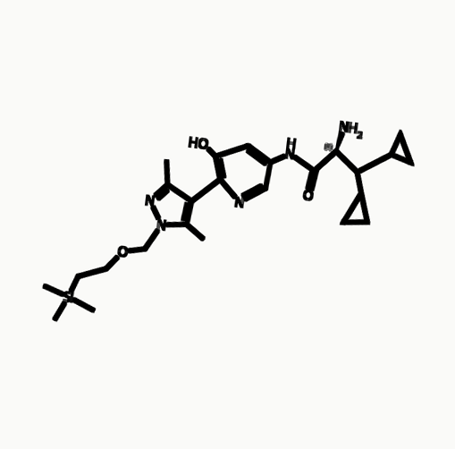 Cc1nn(COCC[Si](C)(C)C)c(C)c1-c1ncc(NC(=O)[C@@H](N)C(C2CC2)C2CC2)cc1O